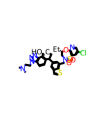 CC[C@@H]1CN(Cc2cc(C(CC(=O)O)c3ccc4c(nnn4CCN(C)C)c3C)cc3ccsc23)S(=O)(=O)c2cc(Cl)cnc2O1